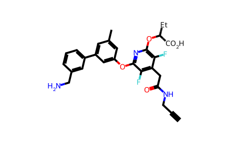 C#CCNC(=O)Cc1c(F)c(Oc2cc(C)cc(-c3cccc(CN)c3)c2)nc(OC(CC)C(=O)O)c1F